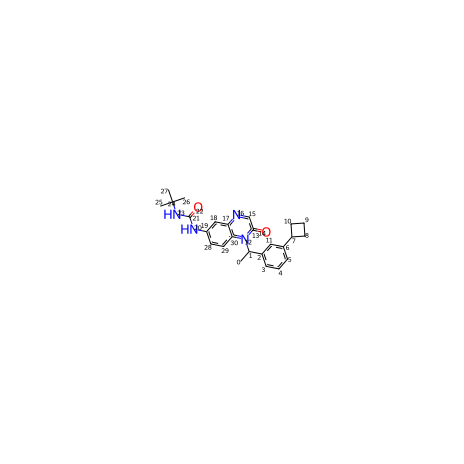 CC(c1cccc(C2CCC2)c1)n1c(=O)cnc2cc(NC(=O)NC(C)(C)C)ccc21